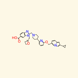 O=C(O)c1ccc2nc(CN3CCC(c4cccc(OCc5ccc6cc(C7CC7)cn6c5)n4)CC3)n(C[C@@H]3CCO3)c2c1